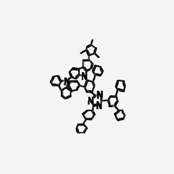 Cc1cc(C)c(-c2ccc3c(c2)c2ccc(-n4c5ccccc5c5ccccc54)cc2n3-c2c(-c3ccccc3)cc(-c3nc(-c4ccc(-c5ccccc5)cc4)nc(-c4cc(-c5ccccc5)cc(-c5ccccc5)c4)n3)cc2-c2ccccc2)c(C)c1